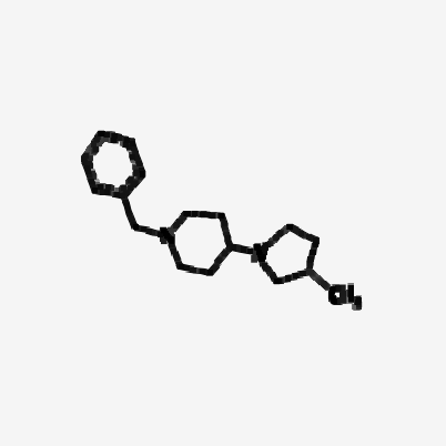 CC1CCN(C2CCN(Cc3ccccc3)CC2)C1